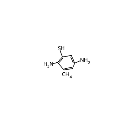 C.Nc1ccc(N)c(S)c1